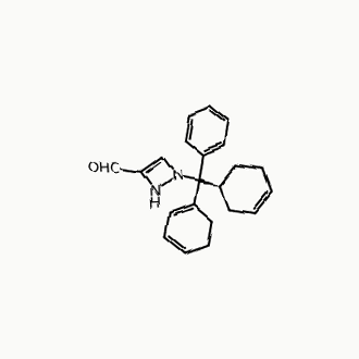 O=Cc1cn(C(C2=CC=CCC2)(c2ccccc2)[C@@H]2CC=CCC2)[nH]1